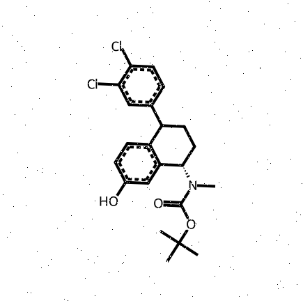 CN(C(=O)OC(C)(C)C)[C@H]1CCC(c2ccc(Cl)c(Cl)c2)c2ccc(O)cc21